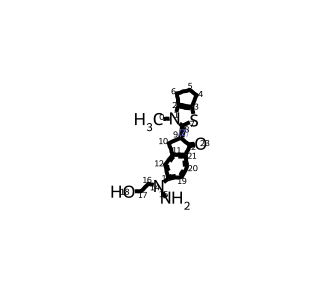 CN1C2=C(CCC2)S/C1=C1/Cc2cc(N(N)CCO)ccc2C1=O